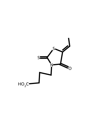 C/C=C1\SC(=S)N(CCCC(=O)O)C1=O